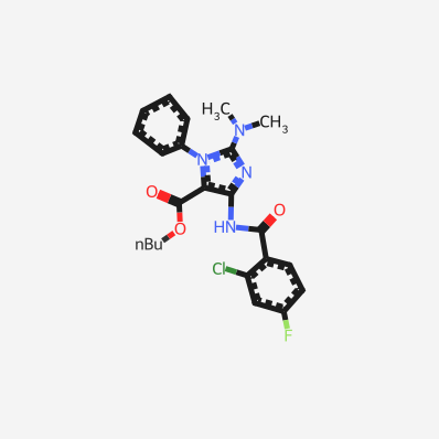 CCCCOC(=O)c1c(NC(=O)c2ccc(F)cc2Cl)nc(N(C)C)n1-c1ccccc1